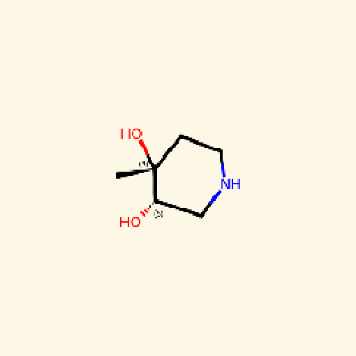 C[C@@]1(O)CCNC[C@@H]1O